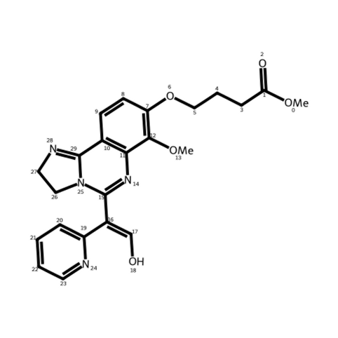 COC(=O)CCCOc1ccc2c(c1OC)N=C(C(=CO)c1ccccn1)N1CCN=C21